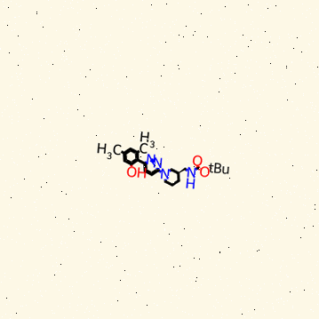 Cc1cc(C)c(-c2ccc(N3CCC[C@H](CNC(=O)OC(C)(C)C)C3)nn2)c(O)c1